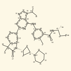 Cc1ccc(Nc2nc(-c3ccc4c(c3)N([C@H]3C[C@@H](N5CCCCC5)C3)C(=O)C4(C)C)cc3ncn(C(C)C)c23)cc1C(=O)N[C@H](C)CF